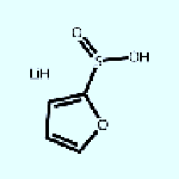 O=S(O)c1ccco1.[LiH]